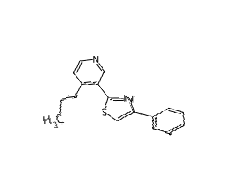 CCCc1ccncc1-c1nc(-c2ccccc2)cs1